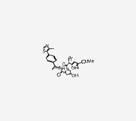 COc1cc(C(C(=O)N2C[C@H](O)C[C@H]2C(=O)N[C@@H](C)c2ccc(-c3scnc3C)cc2)C(C)C)on1